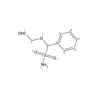 NS(=O)(=O)C(OCC=O)c1ccccc1